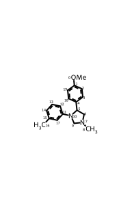 COc1ccc(C2CN(C)CN2c2cccc(C)c2)cc1